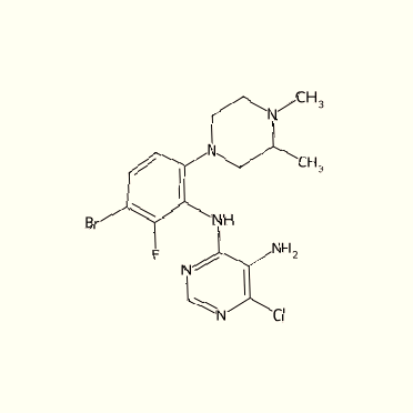 CC1CN(c2ccc(Br)c(F)c2Nc2ncnc(Cl)c2N)CCN1C